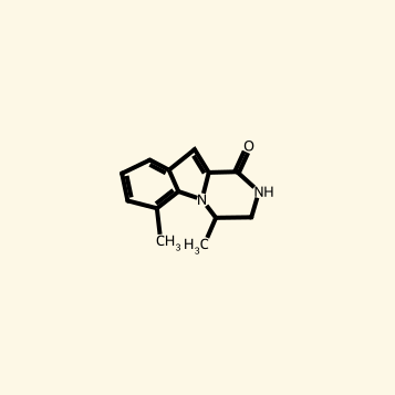 Cc1cccc2cc3n(c12)C(C)CNC3=O